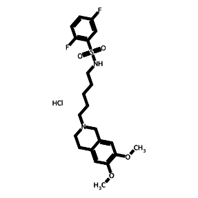 COc1cc2c(cc1OC)CN(CCCCCNS(=O)(=O)c1cc(F)ccc1F)CC2.Cl